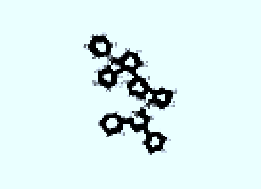 C1=CCC(c2cc(C3=CCCC=C3)cc(-n3c4ccccc4c4cc(-c5cccc6c5c5ccccc5n6-c5ccccc5)ccc43)n2)C=C1